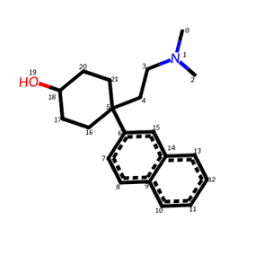 CN(C)CCC1(c2ccc3ccccc3c2)CCC(O)CC1